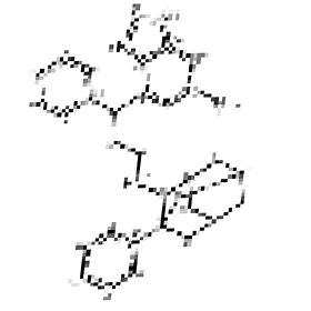 Nc1cc(C(CCNC2C3CC4CC(C3)CC2(c2ccccc2)C4)c2ccccc2)c2nn[nH]c2n1